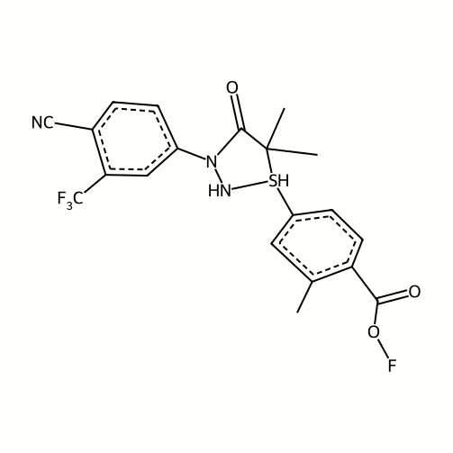 Cc1cc([SH]2NN(c3ccc(C#N)c(C(F)(F)F)c3)C(=O)C2(C)C)ccc1C(=O)OF